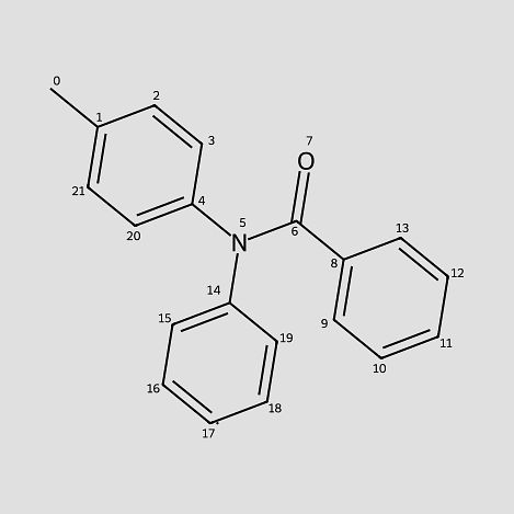 Cc1ccc(N(C(=O)c2ccccc2)c2cc[c]cc2)cc1